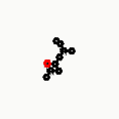 c1ccc(-c2cc(-c3ccc4ccccc4c3)nc(-c3ccc(-c4cc(-c5cccnc5)cc(-c5ccccc5-c5cc(-c6ccccc6)nc(-c6ccccc6)n5)c4)cc3)n2)cc1